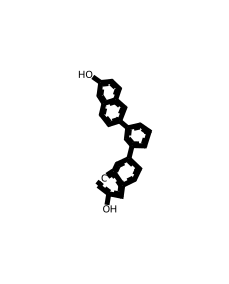 Oc1ccc2cc(-c3cccc(-c4ccc5cc(O)ccc5c4)c3)ccc2c1